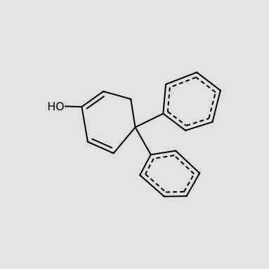 OC1=CCC(c2ccccc2)(c2ccccc2)C=C1